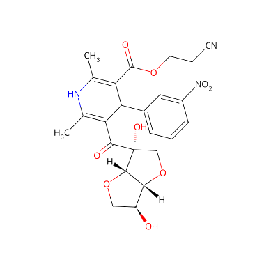 CC1=C(C(=O)OCCC#N)C(c2cccc([N+](=O)[O-])c2)C(C(=O)[C@@]2(O)CO[C@@H]3[C@@H](O)CO[C@@H]32)=C(C)N1